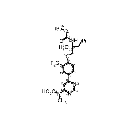 CC(C)C[C@@](C)(COc1ccc(-c2cc(N(C)C(=O)O)ncn2)cc1C(F)(F)F)NC(=O)OC(C)(C)C